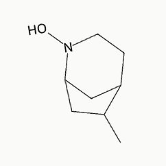 CC1CC2CC1CCN2O